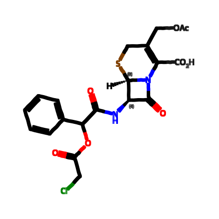 CC(=O)OCC1=C(C(=O)O)N2C(=O)[C@@H](NC(=O)C(OC(=O)CCl)c3ccccc3)[C@H]2SC1